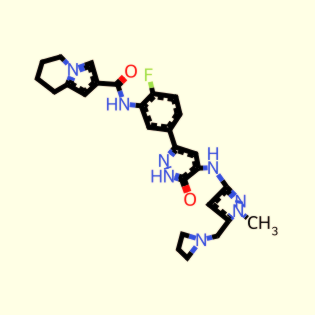 Cn1nc(Nc2cc(-c3ccc(F)c(NC(=O)c4cc5n(c4)CCCC5)c3)n[nH]c2=O)cc1CN1CCC1